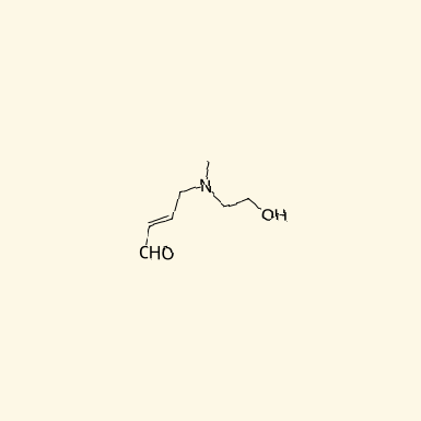 CN(CC=CC=O)CCO